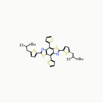 CCCCC(CC)Cc1ccc(-c2nc3c(-c4cccs4)c4sc(-c5ccc(CC(CC)CCCC)s5)nc4c(-c4cccs4)c3s2)s1